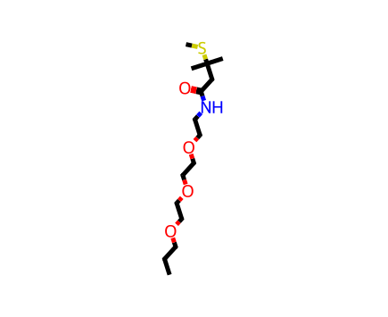 CCCOCCOCCOCCNC(=O)CC(C)(C)SC